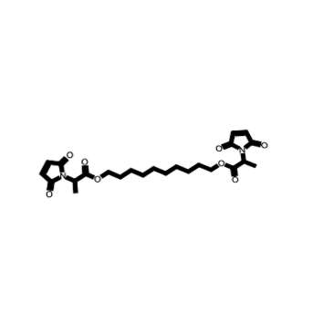 CC(C(=O)OCCCCCCCCCCOC(=O)C(C)N1C(=O)C=CC1=O)N1C(=O)C=CC1=O